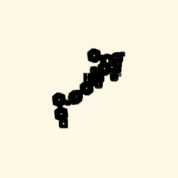 CN(C)C[C@H](CSc1ccccc1)Nc1ccc(S(=O)(=O)NC(=O)c2ccc(N3CCN(Cc4ccccc4-c4ccc(Cl)cc4)CC3)cc2)cc1[N+](=O)[O-]